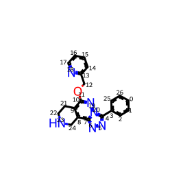 c1ccc(-c2nnc3c4c(c(OCc5ccccn5)nn23)CCNC4)cc1